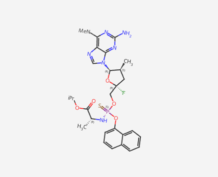 CNc1nc(N)nc2c1ncn2[C@@H]1O[C@](F)(CO[P@@](=S)(N[C@H](C)C(=O)OC(C)C)Oc2cccc3ccccc23)C[C@@H]1C